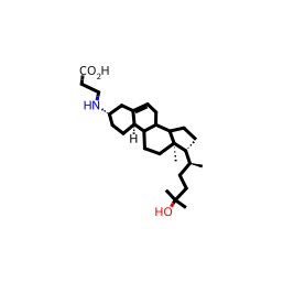 C[C@@H](CCC(C)(C)O)[C@H]1CCC2C3CC=C4C[C@@H](NCCC(=O)O)CC[C@@H]4C3CC[C@@]21C